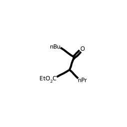 CCCCC(=O)C(CCC)C(=O)OCC